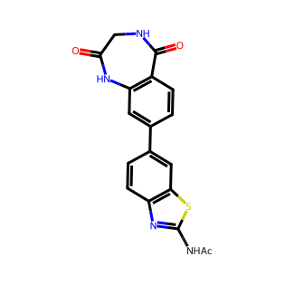 CC(=O)Nc1nc2ccc(-c3ccc4c(c3)NC(=O)CNC4=O)cc2s1